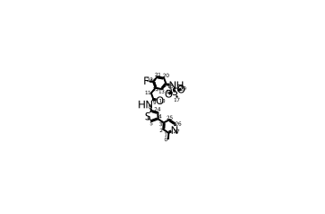 Cc1cc(-c2csc(NC(=O)Cc3cc(NS(C)(=O)=O)ccc3F)c2)ccn1